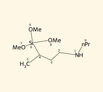 CCCNCCC(C)[Si](OC)(OC)OC